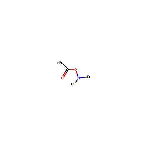 CCCC(=O)ON(C)CC